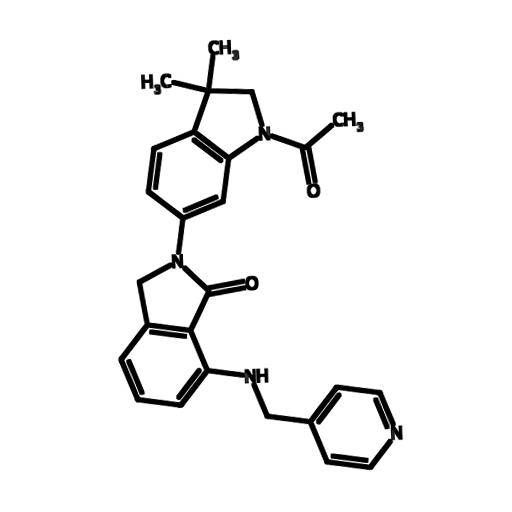 CC(=O)N1CC(C)(C)c2ccc(N3Cc4cccc(NCc5ccncc5)c4C3=O)cc21